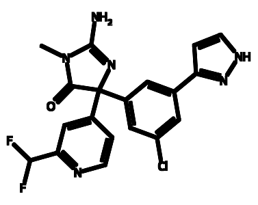 CN1C(=O)C(c2cc(Cl)cc(-c3cc[nH]n3)c2)(c2ccnc(C(F)F)c2)N=C1N